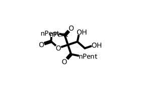 CCCCCC(=O)OC(C(=O)CCCCC)(C(=O)CCCCC)C(O)CO